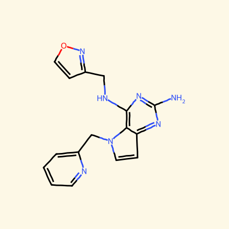 Nc1nc(NCc2ccon2)c2c(ccn2Cc2ccccn2)n1